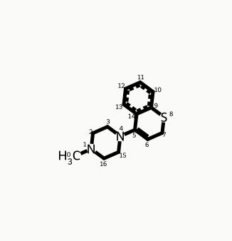 CN1CCN(C2=CCSc3ccccc32)CC1